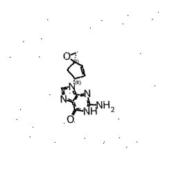 Nc1nc2c(ncn2[C@H]2C=C[C@@]3(CO3)C2)c(=O)[nH]1